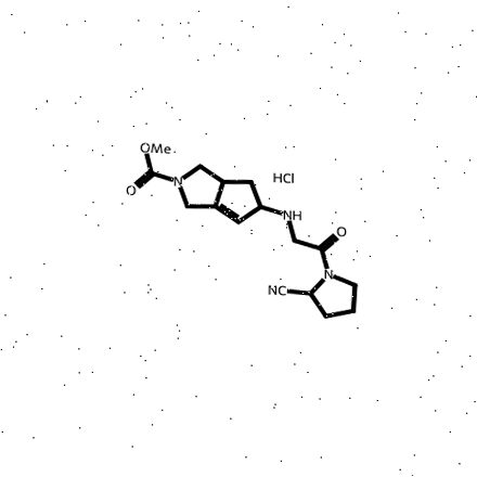 COC(=O)N1CC2=CC(NCC(=O)N3CCCC3C#N)CC2C1.Cl